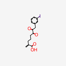 C=C(CCCC(=O)C(=O)Cc1cccc(I)c1)C(=O)O